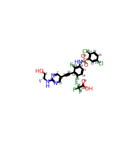 C[C@H](CO)Nc1ncc(C#Cc2c(F)ccc(NS(=O)(=O)c3cc(Cl)ccc3Cl)c2F)cn1.O=C(O)C(F)(F)F